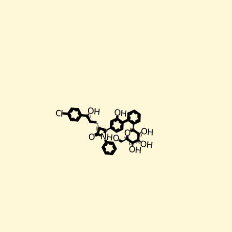 O=C1[C@H](CC[C@H](O)c2ccc(Cl)cc2)[C@@H](c2ccc(-c3ccccc3[C@@H]3O[C@H](CO)[C@@H](O)[C@H](O)[C@H]3O)c(O)c2)N1c1ccccc1